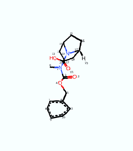 CN(C(=O)OCc1ccccc1)C1CC2CC[C@H](C1)N2C(=O)O